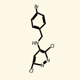 Clc1cc(NCc2ccc(Br)cc2)c(Cl)nn1